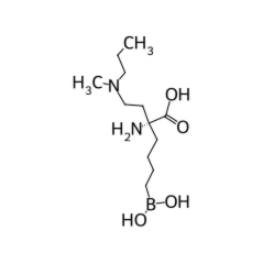 CCCN(C)CC[C@](N)(CCCCB(O)O)C(=O)O